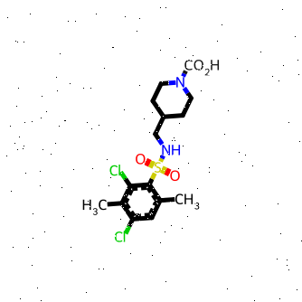 Cc1cc(Cl)c(C)c(Cl)c1S(=O)(=O)NCC1CCN(C(=O)O)CC1